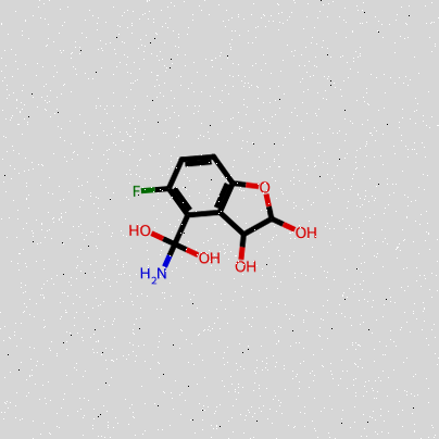 NC(O)(O)c1c(F)ccc2c1C(O)C(O)O2